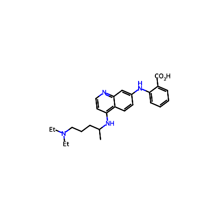 CCN(CC)CCCC(C)Nc1ccnc2cc(Nc3ccccc3C(=O)O)ccc12